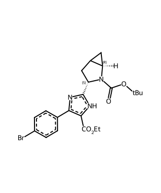 CCOC(=O)c1[nH]c([C@@H]2CC3C[C@H]3N2C(=O)OC(C)(C)C)nc1-c1ccc(Br)cc1